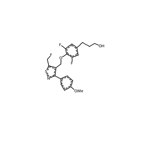 COc1ccc(-c2nsc(CF)c2COc2c(F)cc(CCCO)cc2F)cc1